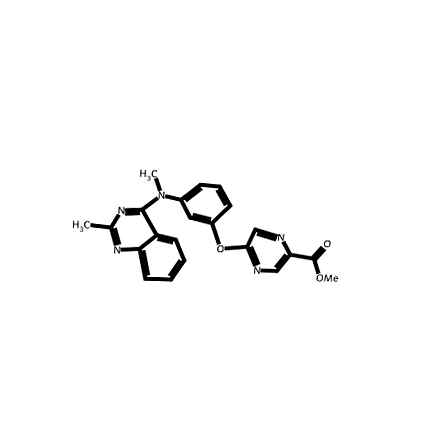 COC(=O)c1cnc(Oc2cccc(N(C)c3nc(C)nc4ccccc34)c2)cn1